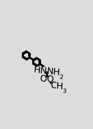 CCOC(=O)C(N)NCc1ccc(-c2ccccc2)cc1